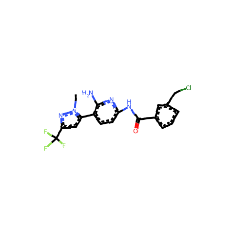 Cn1nc(C(F)(F)F)cc1-c1ccc(NC(=O)c2cccc(CCl)c2)nc1N